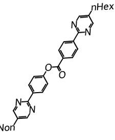 CCCCCCCCCc1cnc(-c2ccc(OC(=O)c3ccc(-c4ncc(CCCCCC)cn4)cc3)cc2)nc1